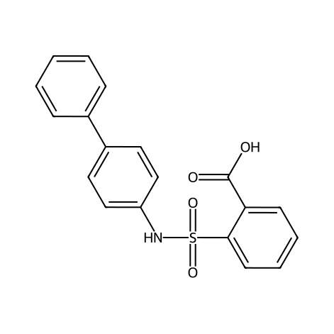 O=C(O)c1ccccc1S(=O)(=O)Nc1ccc(-c2ccccc2)cc1